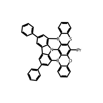 CC(C)c1c2c3c4c5c1Sc1ccccc1B5c1cc(-c5ccccc5)cc5c6cc(-c7ccccc7)cc(c6n-4c15)B3c1ccccc1O2